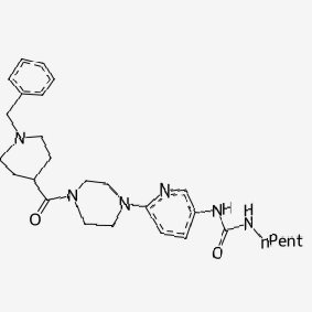 CCCCCNC(=O)Nc1ccc(N2CCN(C(=O)C3CCN(Cc4ccccc4)CC3)CC2)nc1